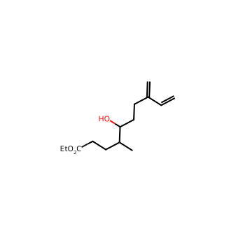 C=CC(=C)CCC(O)C(C)CCC(=O)OCC